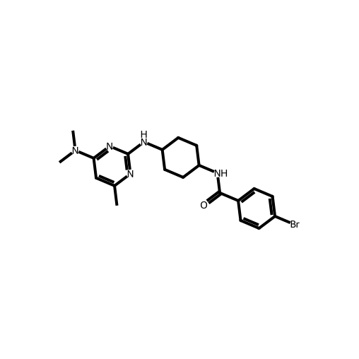 Cc1cc(N(C)C)nc(NC2CCC(NC(=O)c3ccc(Br)cc3)CC2)n1